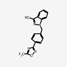 N#Cc1nn(Cc2ccc(-c3noc(C(F)(F)F)n3)cc2)c2ccccc12